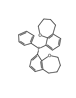 c1ccc(P(c2cccc3c2OCCCC3)c2cccc3c2OCCCC3)cc1